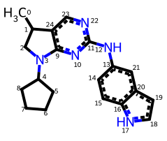 CC1CN(C2CCCC2)c2nc(Nc3ccc4[nH]ccc4c3)ncc21